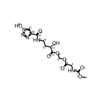 COC(=O)NCC(=O)OCOC(=O)[C@H](O)CCNC(=O)c1cn(O)nn1